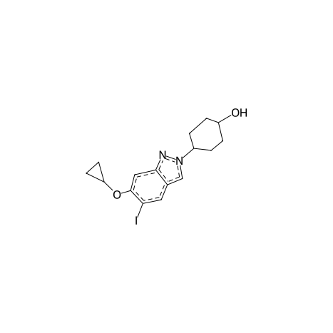 OC1CCC(n2cc3cc(I)c(OC4CC4)cc3n2)CC1